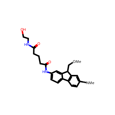 CNc1ccc2c(c1)C(COC)c1cc(NC(=O)CCCC(=O)NCCO)ccc1-2